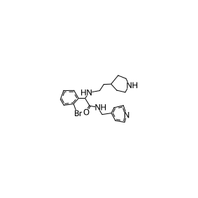 O=C(NCc1ccncc1)C(NCCC1CCNCC1)c1ccccc1Br